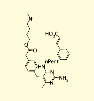 CCCCCNc1nc(N)nc(C)c1Cc1ccc(CC(=O)OCCCCN(C)C)cc1.O=C(O)/C=C/c1ccccc1